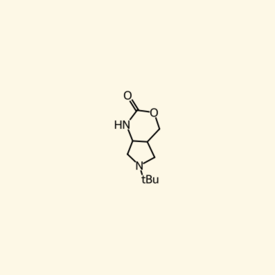 CC(C)(C)N1CC2COC(=O)NC2C1